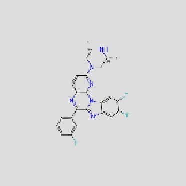 C[C@@H]1CN(c2ccc3nc(-c4cccc(F)c4)c4nc5cc(F)c(F)cc5n4c3n2)C[C@H](C)N1